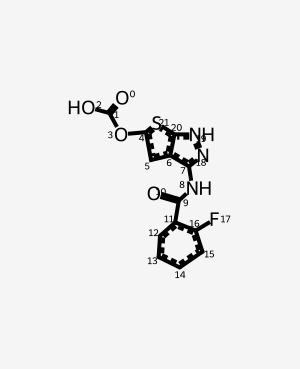 O=C(O)Oc1cc2c(NC(=O)c3ccccc3F)n[nH]c2s1